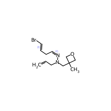 C=CCN(CC1(C)COC1)/N=C\C/C=C/Br